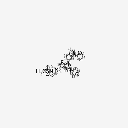 CS(=O)(=O)N1CCN(Cc2csc3c(-c4ccc5cnn(C6CCCCO6)c5c4)nc(N4CCOCC4)nc23)CC1